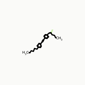 CCCCCCc1ccc(C#Cc2ccc(/C=C(/F)CCCC)cc2)cc1